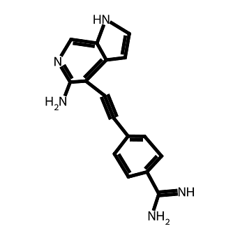 N=C(N)c1ccc(C#Cc2c(N)ncc3[nH]ccc23)cc1